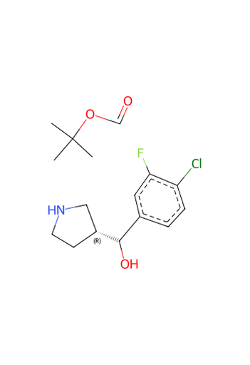 CC(C)(C)OC=O.OC(c1ccc(Cl)c(F)c1)[C@@H]1CCNC1